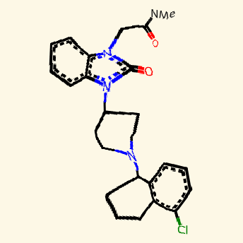 CNC(=O)Cn1c(=O)n(C2CCN(C3CCCc4c(Cl)cccc43)CC2)c2ccccc21